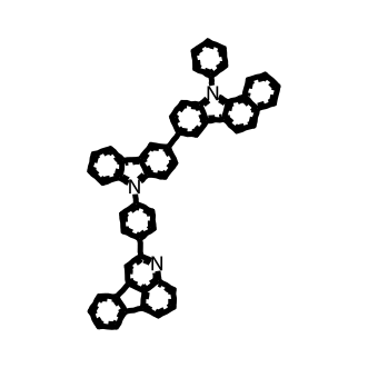 c1ccc(-n2c3ccc(-c4ccc5c(c4)c4ccccc4n5-c4ccc(-c5cc6c7c(cccc7n5)-c5ccccc5-6)cc4)cc3c3ccc4ccccc4c32)cc1